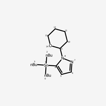 CCC[CH2][Sn]([CH2]CCC)([CH2]CCC)[c]1ccnn1C1CCCCO1